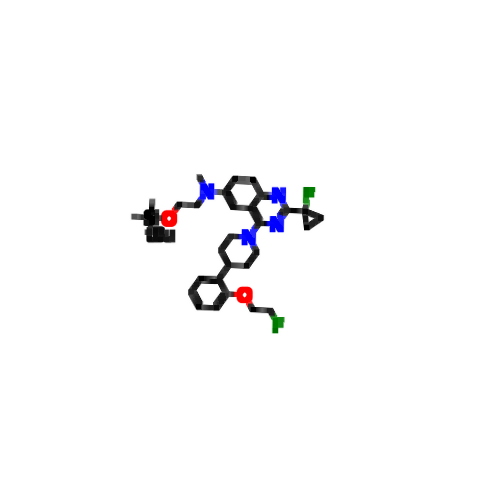 CN(CCO[Si](C)(C)C(C)(C)C)c1ccc2nc(C3(F)CC3)nc(N3CCC(c4ccccc4OCCF)CC3)c2c1